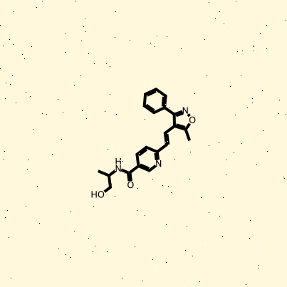 Cc1onc(-c2ccccc2)c1C=Cc1ccc(C(=O)NC(C)CO)cn1